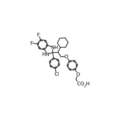 O=C(O)COc1ccc(OCC(C2CCCCC2)C2(c3ccc(Cl)cc3)Nc3cc(F)c(F)cc3N2)cc1